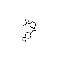 NC(=O)C1CCNC2(C1)CC2C1CCC2(CCO2)CC1